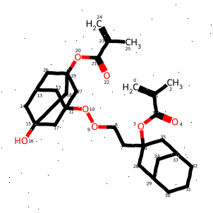 C=C(C)C(=O)OC1(CCOOC23CC4CC(O)(C2)CC(OC(=O)C(=C)C)(C4)C3)CC2CCCC(C2)C1